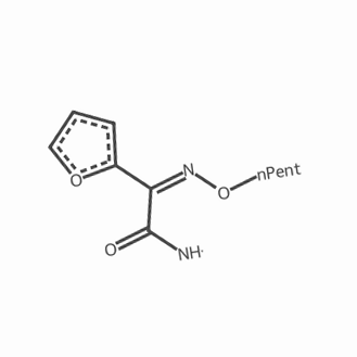 CCCCCON=C(C([NH])=O)c1ccco1